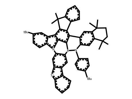 CC(C)(C)c1ccc(N2B3c4cc5c(cc4-n4c6ccc(C(C)(C)C)cc6c6c7c(c(c3c64)-c3cc4c(cc32)C(C)(C)CCC4(C)C)-c2ccccc2C7(C)C)sc2ccccc25)cc1